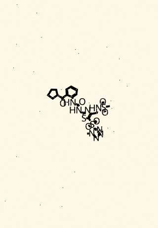 Cn1nnnc1S(=O)(=O)c1sc(NC(=O)Nc2ccccc2C(=O)C2CCCC2)nc1CNS(C)(=O)=O